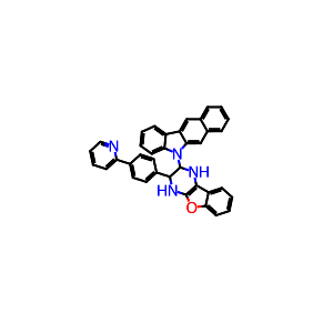 c1ccc(-c2ccc(C3Nc4oc5ccccc5c4NC3n3c4ccccc4c4cc5ccccc5cc43)cc2)nc1